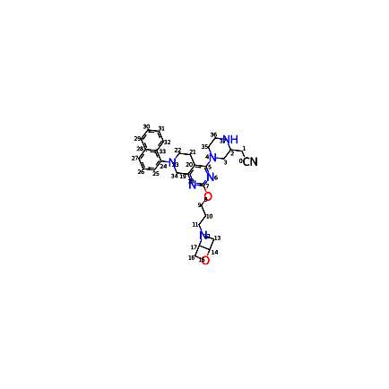 N#CCC1CN(c2nc(OCCCN3CC4OCC43)nc3c2CCN(c2cccc4ccccc24)C3)CCN1